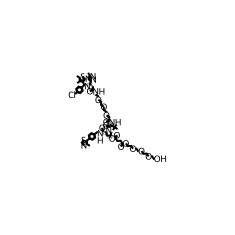 Cc1ncsc1-c1ccc(CNC(=O)[C@@H]2C[C@@H](OC(=O)CCC(=O)OCCOCCOCCOCCO)CN2C(=O)[C@@H](NC(=O)COCCOCCOCCNC(=O)C[C@@H]2N=C(c3ccc(Cl)cc3)c3c(sc(C)c3C)-n3c(C)nnc32)C(C)(C)C)cc1